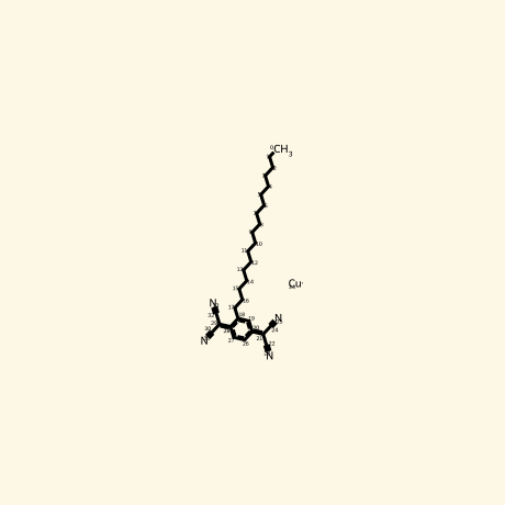 CCCCCCCCCCCCCCCCCCc1cc(=C(C#N)C#N)ccc1=C(C#N)C#N.[Cu]